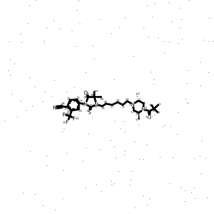 C[C@@H]1CN(C(=O)C(C)(C)C)[C@@H](C)CN1CCCCCCN1C(=S)N(c2ccc(C#N)c(C(F)(F)F)c2)C(=O)C1(C)C